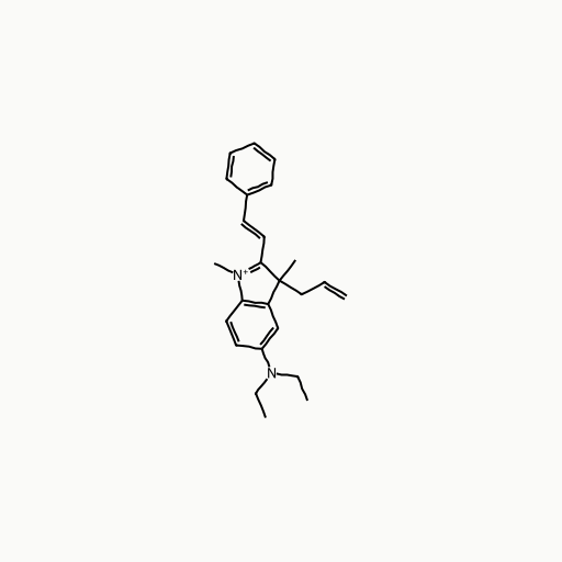 C=CCC1(C)C(/C=C/c2ccccc2)=[N+](C)c2ccc(N(CC)CC)cc21